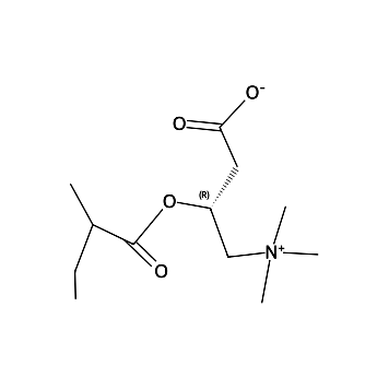 CCC(C)C(=O)O[C@H](CC(=O)[O-])C[N+](C)(C)C